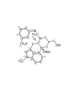 CO[C@]12CC(CO)CN(C)[C@@H]1Cc1cn(C)c3cccc2c13.O=C(O)c1cncc(Br)c1